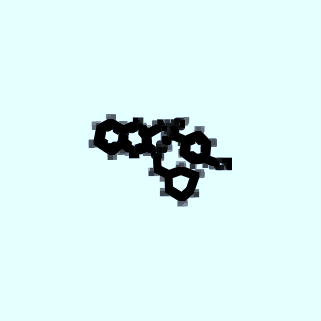 N#Cc1ccc(S(=O)(=O)Nc2nc3ccccc3nc2OCC2CCCCC2)cc1